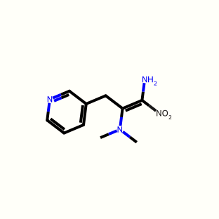 CN(C)C(Cc1cccnc1)=C(N)[N+](=O)[O-]